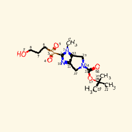 Cn1c(S(=O)(=O)CCCO)nc2c1CN(C(=O)OC(C)(C)C)C2